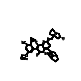 COCOc1cc(C#N)c(C2CC2)c(-c2c(F)cc3c(N4CC5CCC(C4)N5C(=O)O)nc(OC[C@@]45CCCN4C[C@H](F)C5)nc3c2F)c1